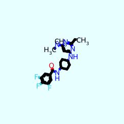 CCc1nc(NC2CCC(NC(=O)c3cc(F)c(F)c(F)c3)CC2)cc(N(C)C)n1